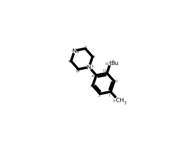 Cc1ccc(N2CC[N]CC2)c(C(C)(C)C)c1